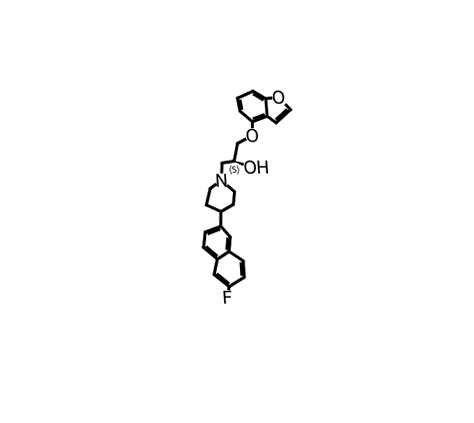 O[C@H](COc1cccc2occc12)CN1CCC(c2ccc3cc(F)ccc3c2)CC1